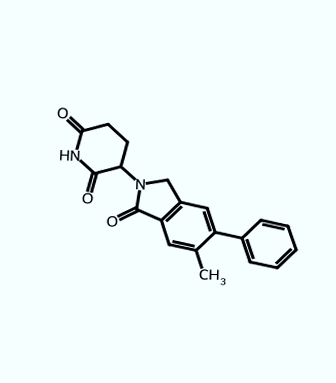 Cc1cc2c(cc1-c1ccccc1)CN(C1CCC(=O)NC1=O)C2=O